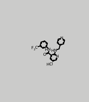 Cl.O=C(Nc1cccc(C(F)(F)F)c1)c1cccnc1NCc1ccncc1